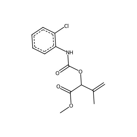 C=C(C)C(OC(=O)Nc1ccccc1Cl)C(=O)OC